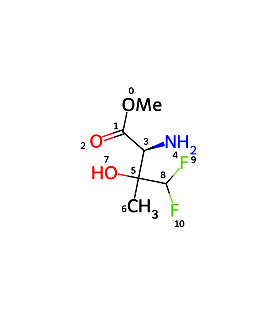 COC(=O)[C@@H](N)C(C)(O)C(F)F